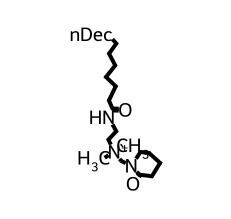 CCCCCCCCCCCCCCCCC(=O)NCC[N+](C)(C)CN1CCCCC1=O